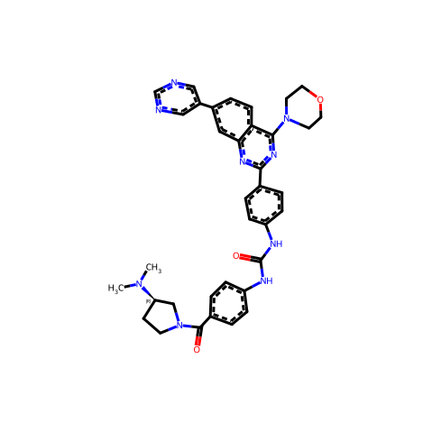 CN(C)[C@@H]1CCN(C(=O)c2ccc(NC(=O)Nc3ccc(-c4nc(N5CCOCC5)c5ccc(-c6cncnc6)cc5n4)cc3)cc2)C1